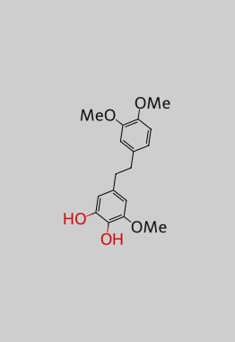 COc1ccc(CCc2cc(O)c(O)c(OC)c2)cc1OC